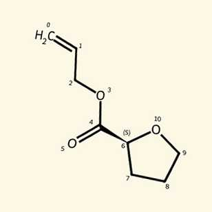 C=CCOC(=O)[C@@H]1CCCO1